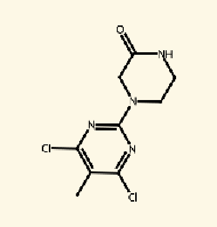 Cc1c(Cl)nc(N2CCNC(=O)C2)nc1Cl